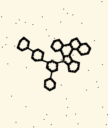 c1ccc(-c2ccc(-c3cc(-c4ccccc4)cc(-n4c5ccccc5c5c6c7ccccc7ccc6c6ccccc6c54)n3)cc2)cc1